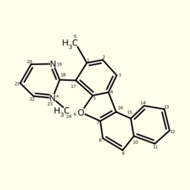 Cc1ccc2c(oc3ccc4ccccc4c32)c1-c1nccc[n+]1C